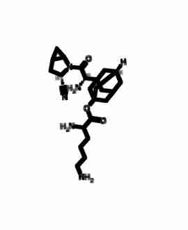 N#C[C@@H]1CC2CC2N1C(=O)[C@@H](N)C12CC3C[C@H](CC(OC(=O)C(N)CCCCN)(C3)C1)C2